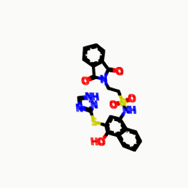 O=C1c2ccccc2C(=O)N1CCS(=O)(=O)Nc1cc(Sc2nc[nH]n2)c(O)c2ccccc12